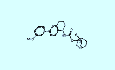 COc1cccc(-c2ccc3c(c2)CCCC3NC(=O)O[C@H]2CN3CCC2CC3)c1